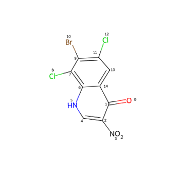 O=c1c([N+](=O)[O-])c[nH]c2c(Cl)c(Br)c(Cl)cc12